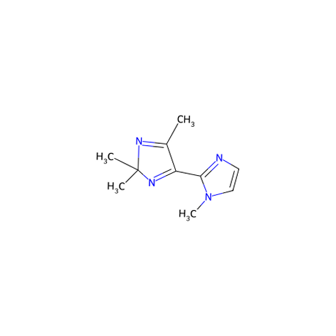 CC1=NC(C)(C)N=C1c1nccn1C